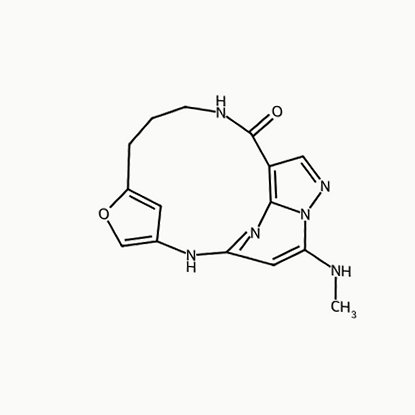 CNc1cc2nc3c(cnn13)C(=O)NCCCc1cc(co1)N2